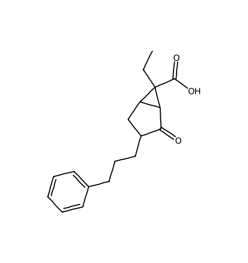 CCC1(C(=O)O)C2CC(CCCc3ccccc3)C(=O)C21